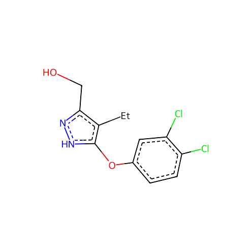 CCc1c(CO)n[nH]c1Oc1ccc(Cl)c(Cl)c1